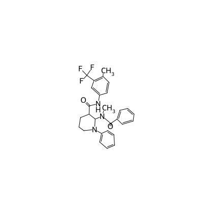 Cc1ccc(NC(=O)C2CCCN(c3ccccc3)C2N(C)C(=O)c2ccccc2)cc1C(F)(F)F